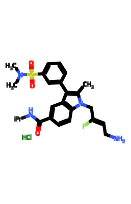 Cc1c(-c2cccc(S(=O)(=O)N(C)C)c2)c2cc(C(=O)NC(C)C)ccc2n1CC(F)=CCN.Cl